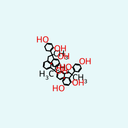 CC(Cc1cccc(C(C)(C)c2cccc(CC(C)(c3ccc(O)cc3O)c3ccc(O)cc3O)c2)c1)(C1=C(O)C=C(O)CC1)c1ccc(O)cc1O